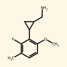 COc1ccc(C)c(F)c1C1CC1CN